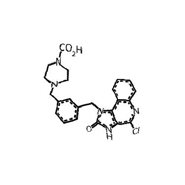 O=C(O)N1CCN(Cc2cccc(Cn3c(=O)[nH]c4c(Cl)nc5ccccc5c43)c2)CC1